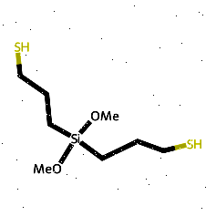 CO[Si](CCCS)(CCCS)OC